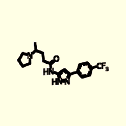 CC(CCC(=O)Nc1cc(-c2ccc(C(F)(F)F)cc2)n[nH]1)N1CCCC1